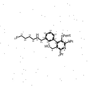 CCCCCc1c(C(C)C)nc(C(C)C)c(CO)c1-c1cccc(CNCCCCF)c1